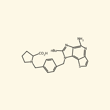 CCCCc1nc2c(N)nc3ccsc3c2n1Cc1ccc(CN2CCCC2C(=O)O)cc1